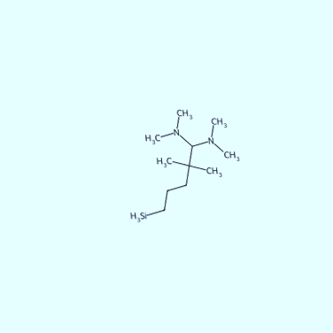 CN(C)C(N(C)C)C(C)(C)CCC[SiH3]